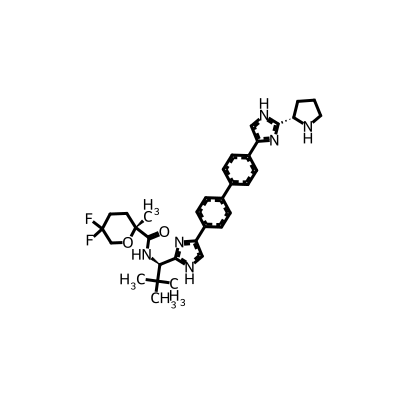 CC(C)(C)[C@@H](NC(=O)[C@@]1(C)CCC(F)(F)CO1)c1nc(-c2ccc(-c3ccc(-c4c[nH]c([C@@H]5CCCN5)n4)cc3)cc2)c[nH]1